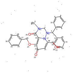 CC(C)N1CN(C(c2ccccc2)c2ccccc2)n2c(CO)cc(=O)c(OCc3ccccc3)c2C1=O